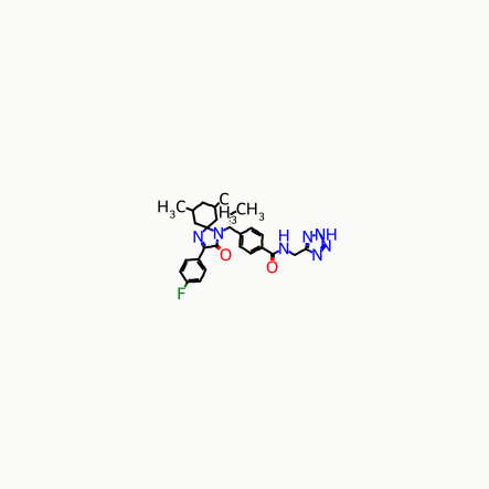 CC[C@H](c1ccc(C(=O)NCc2nn[nH]n2)cc1)N1C(=O)C(c2ccc(F)cc2)=NC12CC(C)CC(C)C2